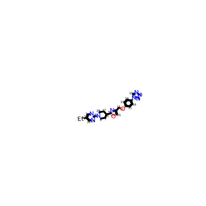 CCc1cnc(N2CCC(c3nc(COc4ccc(-n5cnnn5)cc4)co3)CC2)nc1